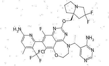 Cc1cc(N)nc(-c2c(Cl)c3c4c(nc(OC[C@@]56CCCN5CC(F)(F)C6)nc4c2F)N([C@H](C)c2cncnc2N)CCO3)c1C(F)(F)F